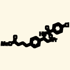 COC(=O)CCCc1ccc(C(CC(C)C)NS(=O)(=O)c2ccc(Cl)cc2)cc1